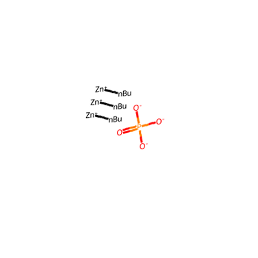 CCC[CH2][Zn+].CCC[CH2][Zn+].CCC[CH2][Zn+].O=P([O-])([O-])[O-]